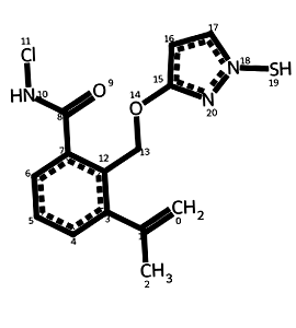 C=C(C)c1cccc(C(=O)NCl)c1COc1ccn(S)n1